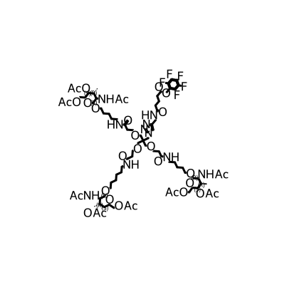 CC(=O)NC1[C@H](OCCCCCCNC(=O)CCOCC(COCCC(=O)NCCCCCO[C@@H]2OC(COC(C)=O)[C@@H](OC(C)=O)[C@H](C)C2NC(C)=O)(COCCC(=O)NCCCCCO[C@@H]2OC(COC(C)=O)[C@@H](OC(C)=O)[C@H](C)C2NC(C)=O)Cn2cc(CNC(=O)CCCC(=O)Oc3c(F)c(F)c(F)c(F)c3F)nn2)OC(COC(C)=O)[C@@H](OC(C)=O)[C@@H]1C